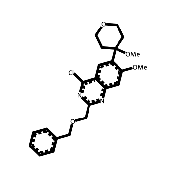 COc1cc2nc(COCc3ccccc3)nc(Cl)c2cc1C1(OC)CCOCC1